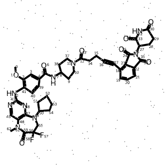 COc1cc(C(=O)NC2CCN(C(=O)CCC#Cc3cccc4c3C(=O)N(C3CCC(=O)NC3=O)C4=O)CC2)ccc1Nc1ncc2c(n1)N(C1CCCC1)CC(F)(F)C(=O)N2C